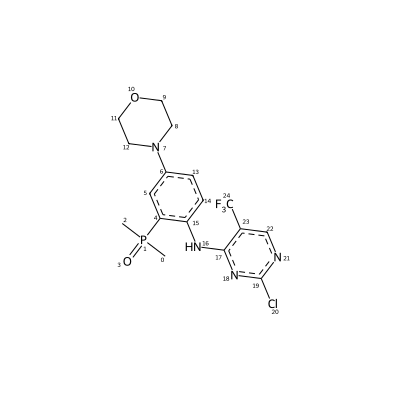 CP(C)(=O)c1cc(N2CCOCC2)ccc1Nc1nc(Cl)ncc1C(F)(F)F